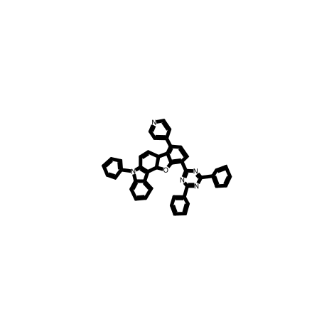 C1=CC2c3c(-c4ccncc4)ccc(-c4nc(-c5ccccc5)nc(-c5ccccc5)n4)c3OC2c2c1n(-c1ccccc1)c1ccccc21